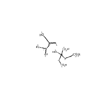 CCN(CC)C(C)O.O=C(O)CC(O)(CC(=O)O)C(=O)O